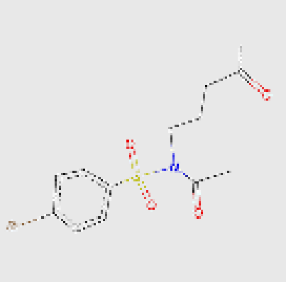 CC(=O)CCCN(C(C)=O)S(=O)(=O)c1ccc(Br)cc1